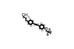 CCCCc1ccc(C#Cc2ccc(OCC(F)(F)F)cc2)cc1